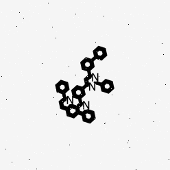 c1ccc(-c2cccc(-c3cc(-c4cccc(-c5nc6ccccc6c6ccc7ccc(-c8ccccc8)nc7c56)c4)nc(-c4ccccc4)n3)c2)cc1